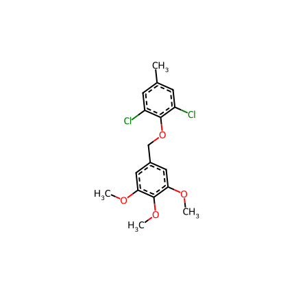 COc1cc(COc2c(Cl)cc(C)cc2Cl)cc(OC)c1OC